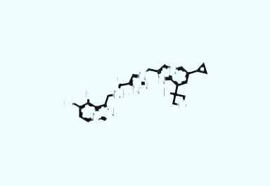 O=C(NCc1ncn2ccc(Cl)c(F)c12)c1cn(Cc2cn3cc(C4CC4)cc(C4(F)COC4)c3n2)nn1